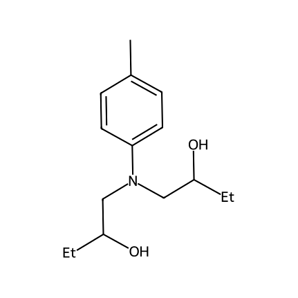 CCC(O)CN(CC(O)CC)c1ccc(C)cc1